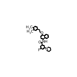 Cc1ccc(CCOc2ccc(NC(=O)c3cc(F)cc(N4CCCCC4)c3)c3ccccc23)cc1C